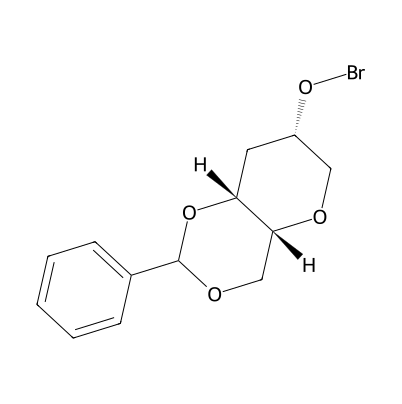 BrO[C@@H]1CO[C@@H]2COC(c3ccccc3)O[C@@H]2C1